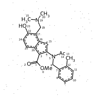 COC(=O)c1c(N(Cc2ccccc2C)C(C)=O)sc2c(CN(C)C)c(O)ccc12